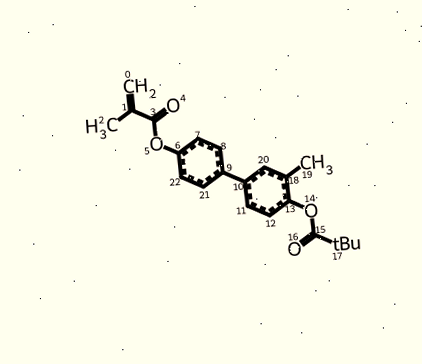 C=C(C)C(=O)Oc1ccc(-c2ccc(OC(=O)C(C)(C)C)c(C)c2)cc1